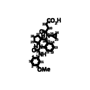 COc1cccc(NC(=O)N2c3ccccc3[C@H](N(C(=O)CCC(=O)O)C3CC3)[C@H]3CCC[C@H]32)c1